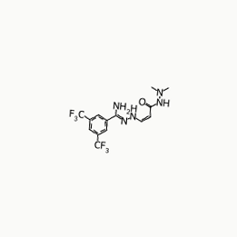 CN(C)NC(=O)/C=C\N/N=C(\N)c1cc(C(F)(F)F)cc(C(F)(F)F)c1